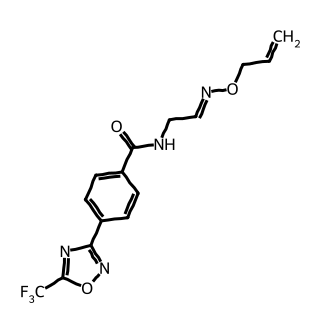 C=CCON=CCNC(=O)c1ccc(-c2noc(C(F)(F)F)n2)cc1